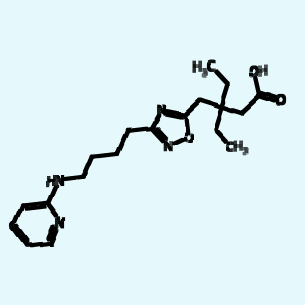 CCC(CC)(CC(=O)O)Cc1nc(CCCCNc2ccccn2)no1